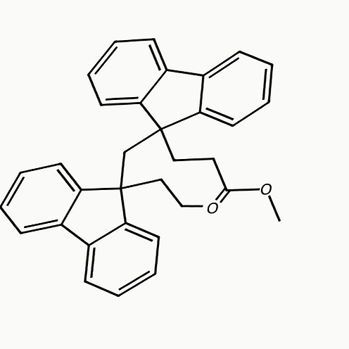 CCCC1(CC2(CCC(=O)OC)c3ccccc3-c3ccccc32)c2ccccc2-c2ccccc21